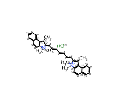 CC1=C(C=CC=CC=CC=C2C(C)c3c(ccc4ccccc34)[N+]2(C)C)[N+](C)(C)c2ccc3ccccc3c21.Cl